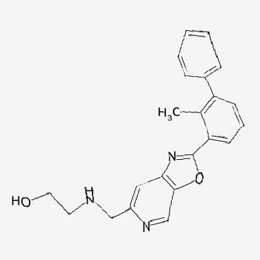 Cc1c(-c2ccccc2)cccc1-c1nc2cc(CNCCO)ncc2o1